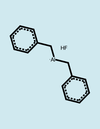 F.c1ccc([CH2][Al][CH2]c2ccccc2)cc1